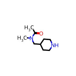 CC(=O)N(C)CC1CCNCC1